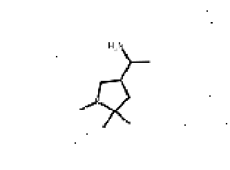 CC(N)C1CN(C)C(C)(C)C1